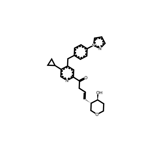 O=C(C/C=C/[C@H]1COCC[C@@H]1O)c1cc(Cc2ccc(-n3cccn3)cc2)c(C2CC2)cn1